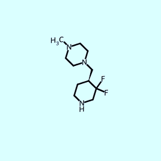 CN1CCN(C[C@@H]2CCNCC2(F)F)CC1